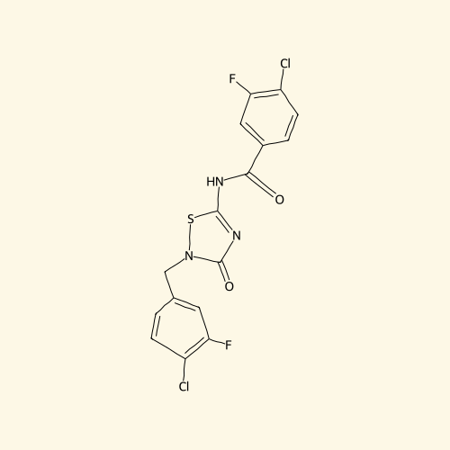 O=C(Nc1nc(=O)n(Cc2ccc(Cl)c(F)c2)s1)c1ccc(Cl)c(F)c1